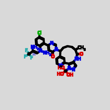 CC1CCCC(n2cnc(-c3cc(Cl)ccc3N(N)/C=C(\N)C(F)(F)F)cc2=O)c2ccnc(c2)-c2c(cnn2C(O)(O)O)NC1=O